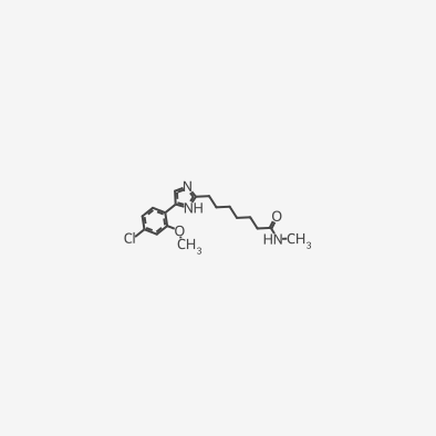 CNC(=O)CCCCCCc1ncc(-c2ccc(Cl)cc2OC)[nH]1